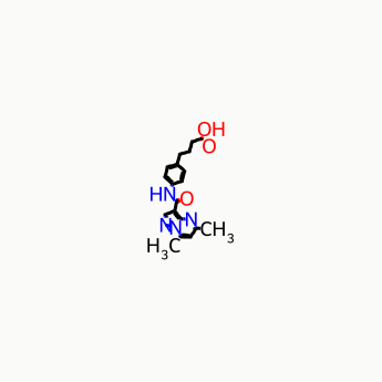 Cc1cc(C)n2ncc(C(=O)Nc3ccc(CCCC(=O)O)cc3)c2n1